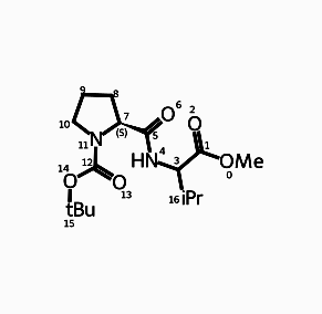 COC(=O)C(NC(=O)[C@@H]1CCCN1C(=O)OC(C)(C)C)C(C)C